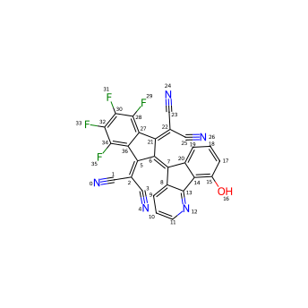 N#CC(C#N)=C1C(=C2c3cccnc3-c3c(O)cccc32)C(=C(C#N)C#N)c2c(F)c(F)c(F)c(F)c21